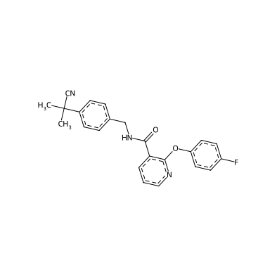 CC(C)(C#N)c1ccc(CNC(=O)c2cccnc2Oc2ccc(F)cc2)cc1